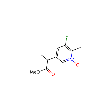 COC(=O)C(C)c1cc(F)c(C)[n+]([O-])c1